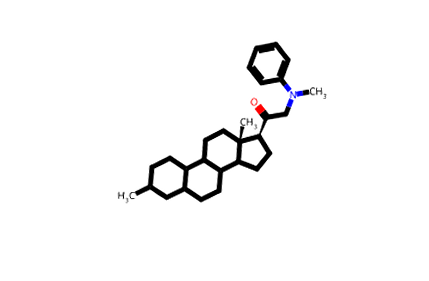 CC1CCC2C(CCC3C2CC[C@@]2(C)C3CC[C@@H]2C(=O)CN(C)c2ccccc2)C1